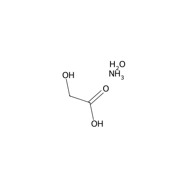 N.O.O=C(O)CO